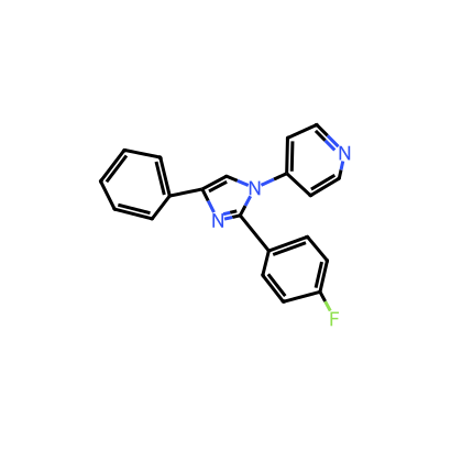 Fc1ccc(-c2nc(-c3ccccc3)cn2-c2ccncc2)cc1